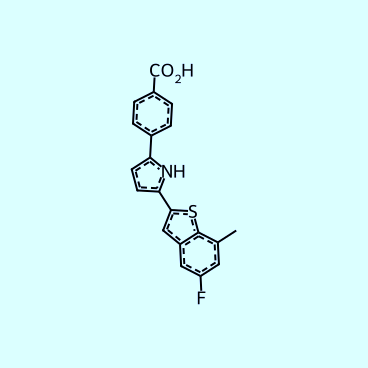 Cc1cc(F)cc2cc(-c3ccc(-c4ccc(C(=O)O)cc4)[nH]3)sc12